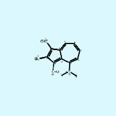 C[SiH](C)c1ccccc2c(C=O)c(C(C)(C)C)c(C=O)c1-2